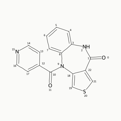 O=C1Nc2ccccc2N(C(=O)c2ccncc2)c2cscc21